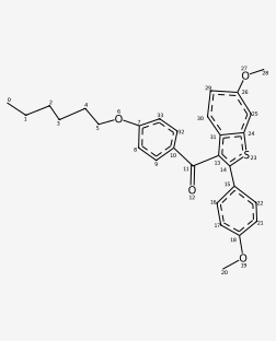 CCCCCCOc1ccc(C(=O)c2c(-c3ccc(OC)cc3)sc3cc(OC)ccc23)cc1